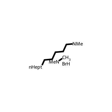 Br.CCCCCCCCCCCCNC.CNC